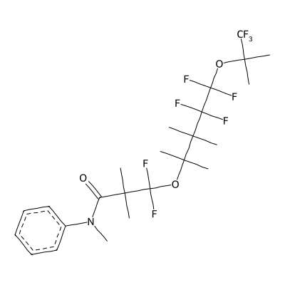 CN(C(=O)C(C)(C)C(F)(F)OC(C)(C)C(C)(C)C(F)(F)C(F)(F)OC(C)(C)C(F)(F)F)c1ccccc1